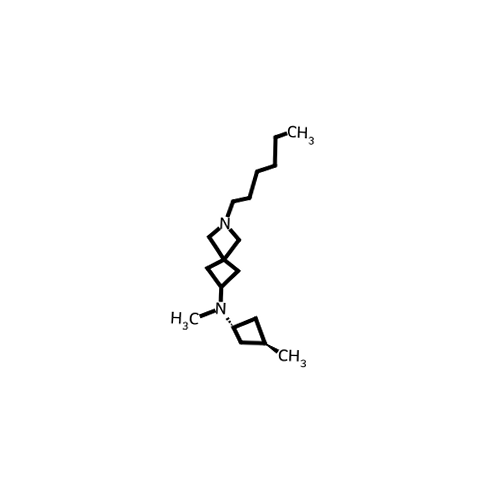 CCCCCCN1CC2(CC(N(C)[C@H]3C[C@H](C)C3)C2)C1